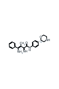 C/C(C(=N)C(=O)Nc1ccc([C@H]2CNCCO2)cc1)=C(/N)c1ccccc1